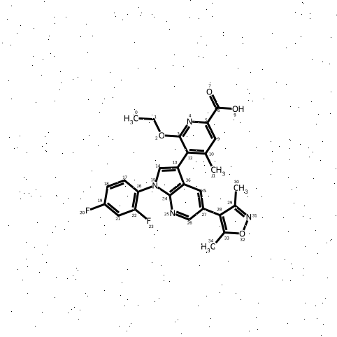 CCOc1nc(C(=O)O)cc(C)c1-c1cn(-c2ccc(F)cc2F)c2ncc(-c3c(C)noc3C)cc12